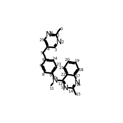 Cc1ncc(Cc2ccc(N(C)c3nc(C)nc4ccccc34)cc2)cn1